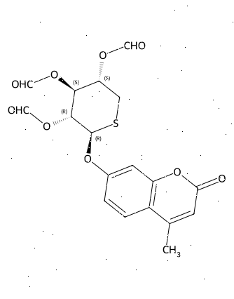 Cc1cc(=O)oc2cc(O[C@@H]3SC[C@@H](OC=O)[C@H](OC=O)[C@H]3OC=O)ccc12